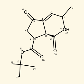 CC(C)/C=C1/C(=O)CN(C(=O)OC(C)(C)C)[C@@H]1C(=O)O